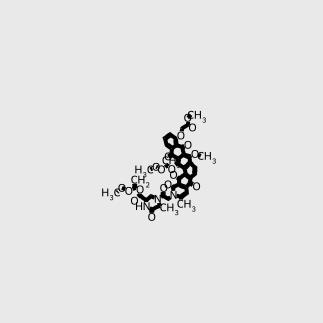 C=C(OOC)OC(=O)C1CN(C(=O)Cn2c(C)cc3c(=O)c4ccc5c(OC)c6c(=O)c7c(OCC(=O)OC)cccc7c(=O)c6c(OC(=C)OOC)c5c4c(=O)c3c2=O)C(C)C(=O)N1